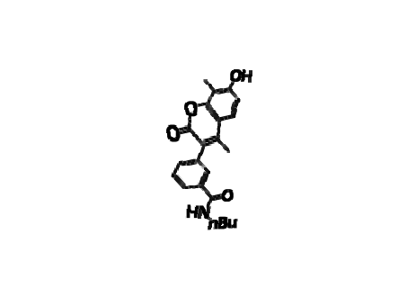 CCCCNC(=O)c1cccc(-c2c(C)c3ccc(O)c(C)c3oc2=O)c1